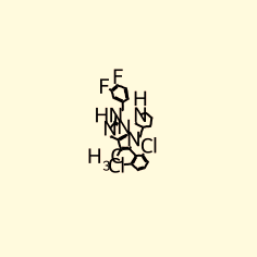 Cc1c(-c2c(Cl)cccc2Cl)n(CC2CCCNC2)c2nc(NCc3ccc(F)c(F)c3)ncc12